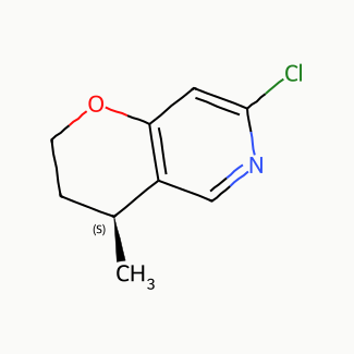 C[C@H]1CCOc2cc(Cl)ncc21